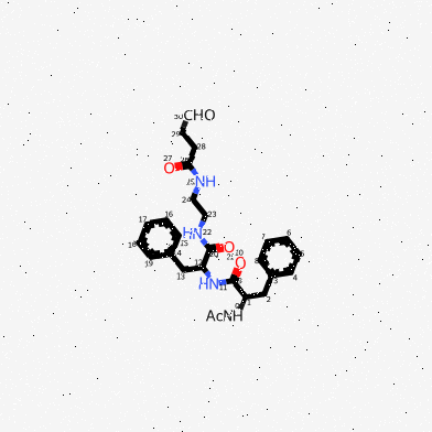 CC(=O)NC(Cc1ccccc1)C(=O)NC(Cc1ccccc1)C(=O)NCCNC(=O)CCC=O